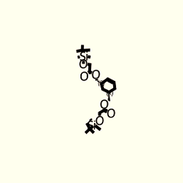 CC(C)(C)[Si](C)(C)OCC(=O)OC[C@@H]1C=CC[C@@H](COC(=O)CO[Si](C)(C)C(C)(C)C)C1